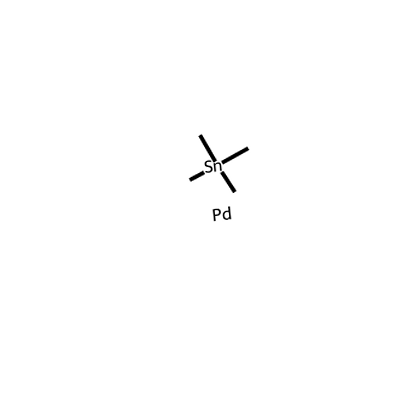 [CH3][Sn]([CH3])([CH3])[CH3].[Pd]